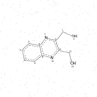 OCc1nc2ccccc2nc1CO